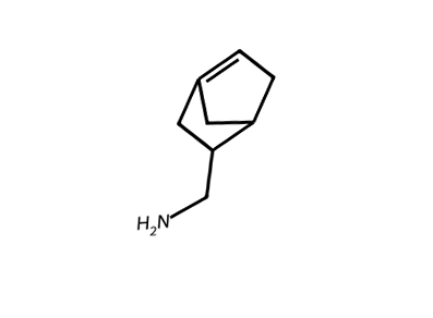 NCC1CC2=CCC1C2